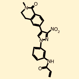 C=CC(=O)Nc1cccc(-n2cc(-c3ccc4c(c3)CCN(C)C4=O)c([N+](=O)[O-])n2)c1